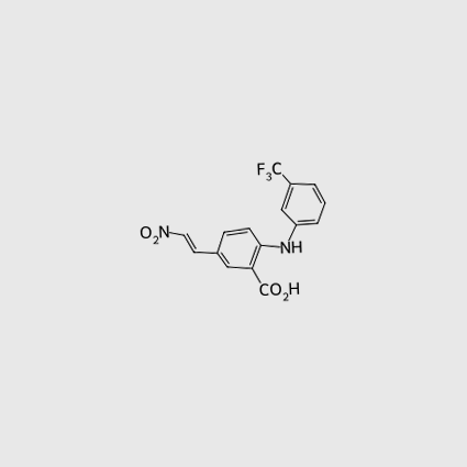 O=C(O)c1cc(/C=C/[N+](=O)[O-])ccc1Nc1cccc(C(F)(F)F)c1